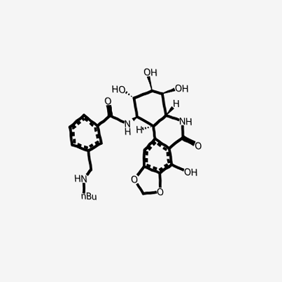 CCCCNCc1cccc(C(=O)N[C@H]2[C@H](O)[C@@H](O)[C@@H](O)[C@@H]3NC(=O)c4c(cc5c(c4O)OCO5)[C@@H]23)c1